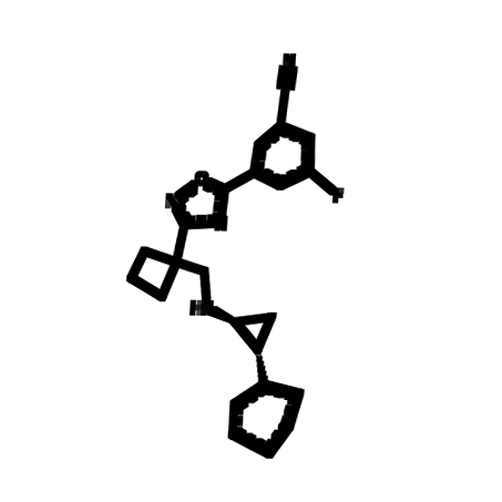 N#Cc1cc(F)cc(-c2nc(C3(CN[C@H]4C[C@@H]4c4ccccc4)CCC3)no2)c1